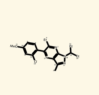 CCc1nc2c(nc1-c1ccc(OC)cc1Cl)c(C)nn2C(CC)CC